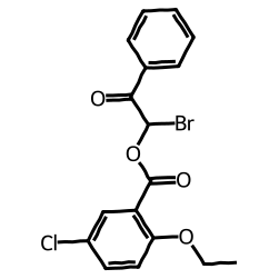 CCOc1ccc(Cl)cc1C(=O)OC(Br)C(=O)c1ccccc1